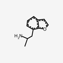 CC(N)Cc1cccc2ccoc12